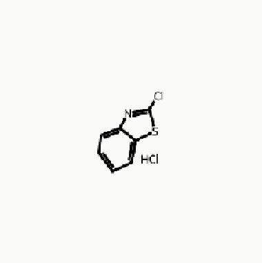 Cl.Clc1nc2ccccc2s1